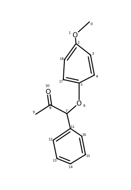 COc1ccc(OC(C(C)=O)c2ccccc2)cc1